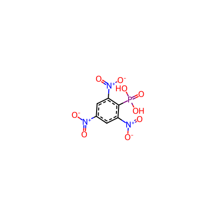 O=[N+]([O-])c1cc([N+](=O)[O-])c(P(=O)(O)O)c([N+](=O)[O-])c1